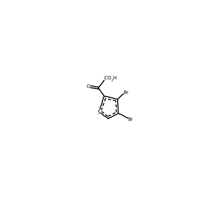 O=C(O)C(=O)c1scc(Br)c1Br